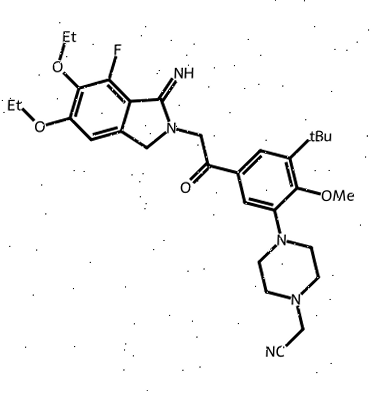 CCOc1cc2c(c(F)c1OCC)C(=N)N(CC(=O)c1cc(N3CCN(CC#N)CC3)c(OC)c(C(C)(C)C)c1)C2